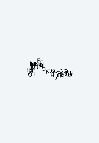 Cn1nc(C2CCC(=O)NC2=O)c2cccc(C#CCOC3CCN(C[C@H]4CC[C@H](n5cc(NC(=O)c6cnn7ccc(N8C[C@@H]9C[C@H]8CO9)nc67)c(C(F)F)n5)CC4)CC3)c21